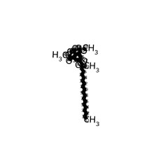 CCCCCCCCCCCCCCCCCCN(C)S(=O)(=O)c1cc(C(=O)OC)c([N+](=O)[O-])c(C(=O)OC)c1